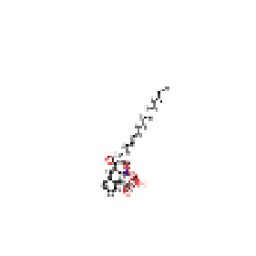 CCCCCCCCCCCCCCCCCC(=O)c1cc2ccccc2c(C(=O)O)c1I(=O)=O